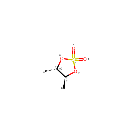 C[C@@H]1OS(=O)(=O)O[C@H]1C